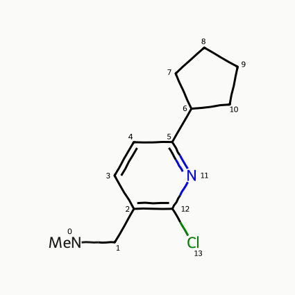 CNCc1ccc(C2CCCC2)nc1Cl